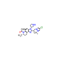 COC(=O)N1c2ccc3c(nc(C(C)Cn4cc(Cl)cn4)n3C3CCNC3)c2CC[C@@H]1C